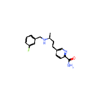 CC(CCc1ccc(C(N)=O)nc1)NCc1cccc(F)c1